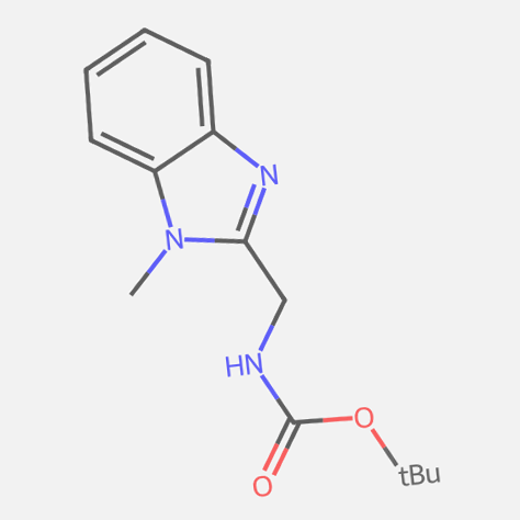 Cn1c(CNC(=O)OC(C)(C)C)nc2ccccc21